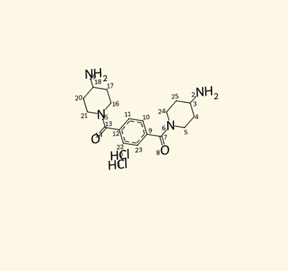 Cl.Cl.NC1CCN(C(=O)c2ccc(C(=O)N3CCC(N)CC3)cc2)CC1